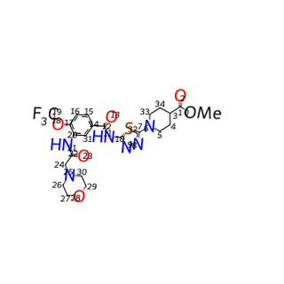 COC(=O)C1CCN(c2nnc(NC(=O)c3ccc(OC(F)(F)F)c(NC(=O)CN4CCOCC4)c3)s2)CC1